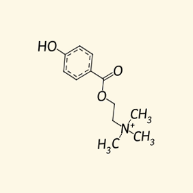 C[N+](C)(C)CCOC(=O)c1ccc(O)cc1